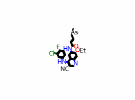 CCOc1cc2ncc(C#N)c(Nc3ccc(F)c(Cl)c3)c2cc1NC(=O)C=CC[As](C)C